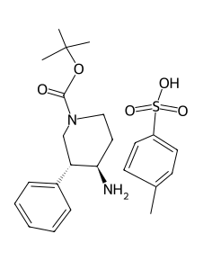 CC(C)(C)OC(=O)N1CC[C@@H](N)[C@H](c2ccccc2)C1.Cc1ccc(S(=O)(=O)O)cc1